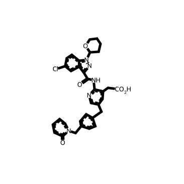 O=C(O)Cc1cc(Cc2ccc(Cn3ccccc3=O)cc2)cnc1NC(=O)c1nn(C2CCCCO2)c2ccc(Cl)cc12